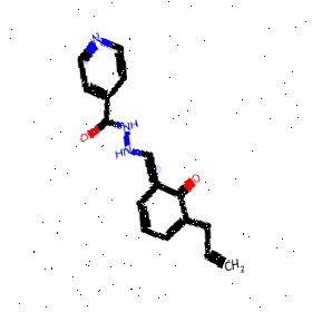 C=CCC1=CC=C/C(=C\NNC(=O)c2ccncc2)C1=O